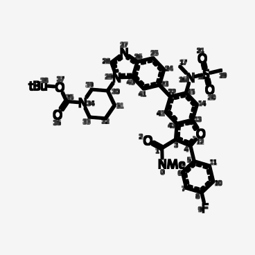 CNC(=O)c1c(-c2ccc(F)cc2)oc2cc(N(C)S(C)(=O)=O)c(-c3ccc4ncn(C5CCCN(C(=O)OC(C)(C)C)C5)c4c3)cc12